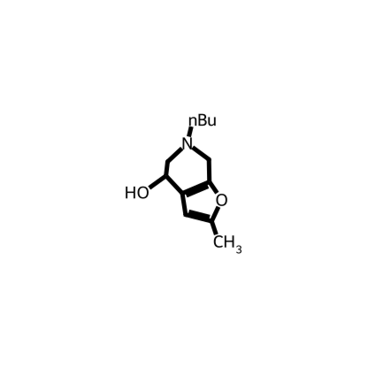 CCCCN1Cc2oc(C)cc2C(O)C1